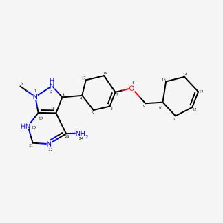 CN1NC(C2CC=C(OCC3CC=CCC3)CC2)C2=C1NCN=C2N